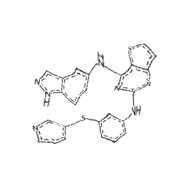 c1cncc(Sc2cccc(Nc3nc(Nc4ccc5[nH]ncc5c4)c4sccc4n3)c2)c1